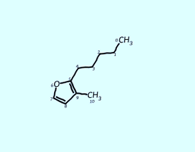 CCCCCc1occc1C